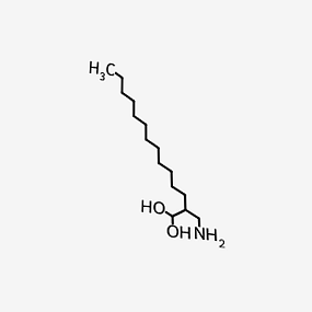 CCCCCCCCCCCCC(CN)C(O)O